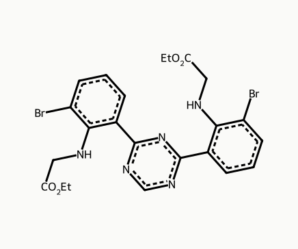 CCOC(=O)CNc1c(Br)cccc1-c1ncnc(-c2cccc(Br)c2NCC(=O)OCC)n1